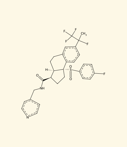 CC(F)(c1ccc2c(c1)CC[C@@H]1[C@H](C(=O)NCc3ccncc3)CC[C@]21S(=O)(=O)c1ccc(F)cc1)C(F)(F)F